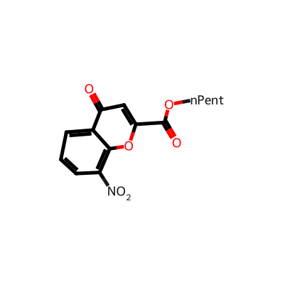 CCCCCOC(=O)c1cc(=O)c2cccc([N+](=O)[O-])c2o1